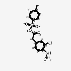 Cc1ccc(S(=O)(=O)OC(=O)Cc2ccc(NN)c(Cl)c2)cc1